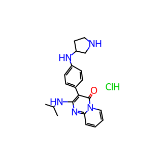 CC(C)Nc1nc2ccccn2c(=O)c1-c1ccc(NC2CCNC2)cc1.Cl